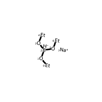 CCO[BH-](OCC)OCC.[Na+]